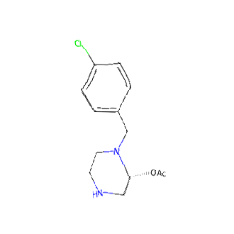 CC(=O)O[C@@H]1CNCCN1Cc1ccc(Cl)cc1